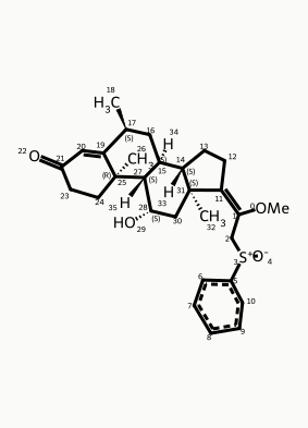 COC(C[S+]([O-])c1ccccc1)=C1CC[C@H]2[C@@H]3C[C@H](C)C4=CC(=O)CC[C@]4(C)[C@H]3[C@@H](O)C[C@]12C